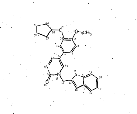 COc1ccc(-c2cnc(=O)n(Cc3cc4ccccc4s3)c2)cc1OC1CCCC1